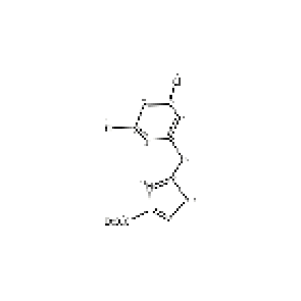 CCOC(=O)c1csc(Cc2cc(Cl)cc(Cl)c2)n1